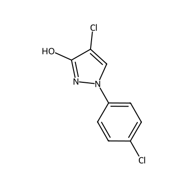 Oc1nn(-c2ccc(Cl)cc2)cc1Cl